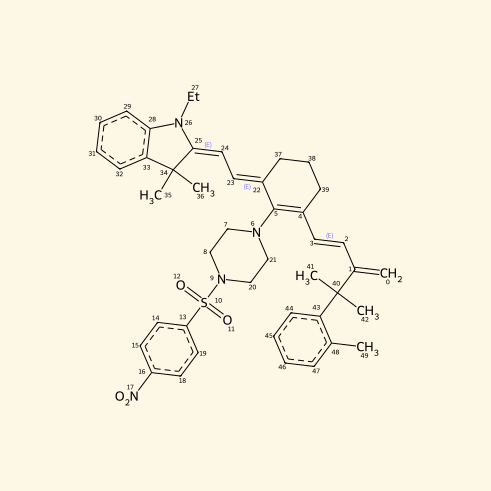 C=C(/C=C/C1=C(N2CCN(S(=O)(=O)c3ccc([N+](=O)[O-])cc3)CC2)C(=C/C=C2/N(CC)c3ccccc3C2(C)C)/CCC1)C(C)(C)c1ccccc1C